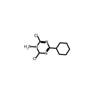 NN1C(Cl)=NC(C2CCCCC2)=NC1Cl